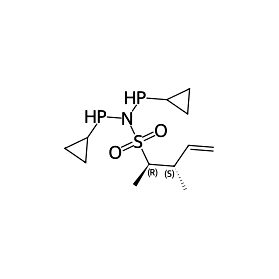 C=C[C@H](C)[C@@H](C)S(=O)(=O)N(PC1CC1)PC1CC1